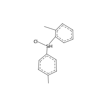 Cc1ccc([SiH](Cl)c2ccccc2C)cc1